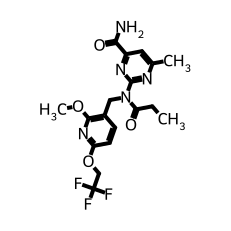 CCC(=O)N(Cc1ccc(OCC(F)(F)F)nc1OC)c1nc(C)cc(C(N)=O)n1